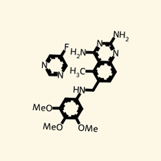 COc1cc(NCc2ccc3nc(N)nc(N)c3c2C)cc(OC)c1OC.Fc1cncnc1